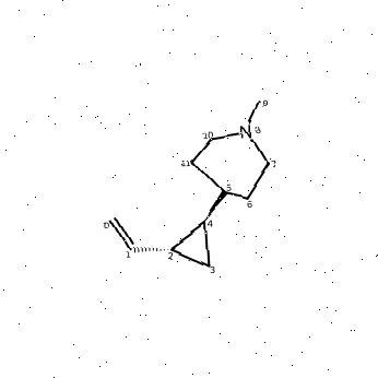 C=C[C@H]1C[C@@H]1C1CCN(C)CC1